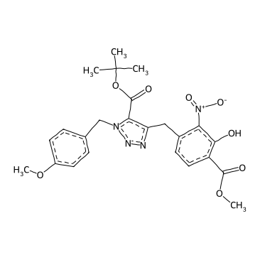 COC(=O)c1ccc(Cc2nnn(Cc3ccc(OC)cc3)c2C(=O)OC(C)(C)C)c([N+](=O)[O-])c1O